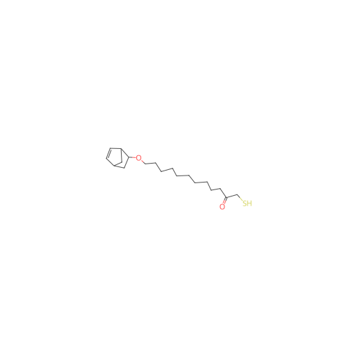 O=C(CS)CCCCCCCCCCOC1CC2C=CC1C2